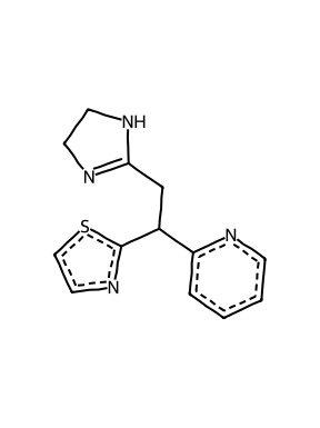 c1ccc(C(CC2=NCCN2)c2nccs2)nc1